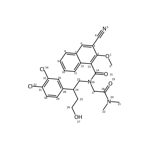 COc1c(C#N)cc2ccccc2c1C(=O)N(CC(=O)N(C)C)CC(CCO)c1ccc(Cl)c(Cl)c1